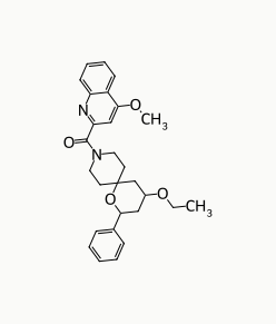 CCOC1CC(c2ccccc2)OC2(CCN(C(=O)c3cc(OC)c4ccccc4n3)CC2)C1